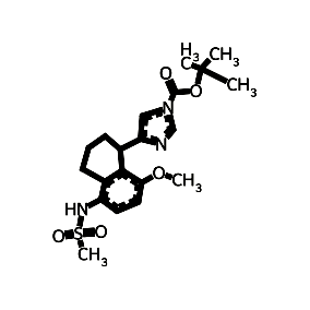 COc1ccc(NS(C)(=O)=O)c2c1C(c1cn(C(=O)OC(C)(C)C)cn1)CCC2